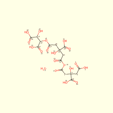 O.O=C(O)CC(O)(CC(=O)OC(=O)CC(O)(CC(=O)OC(C(=O)O)C(O)C(=O)O)C(=O)O)C(=O)O